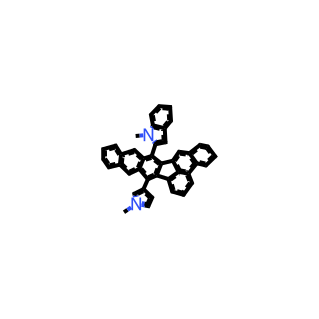 Cn1ccc(-c2c3c(c(-c4cc5ccccc5n4C)c4cc5ccccc5cc24)-c2cc4ccccc4c4cccc-3c24)c1